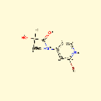 CCCCCCC(C)(O)C(=O)Nc1ccnc(Br)c1